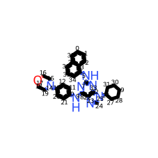 c1ccc2c(Nc3nc(Nc4ccc(N5CCOCC5)cc4)c4ncn(C5CCCCC5)c4n3)cccc2c1